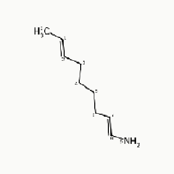 CC=CCCCCC=CN